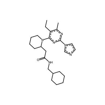 CCc1c(C)nc(-n2ccnc2)nc1N1CCCCC1CC(=O)NCC1CCCCC1